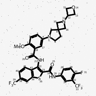 COc1ccc(N2CCC3(C2)CN(C2COC2)C3)cc1C(=O)Nc1c(C(=O)Nc2ccc(F)c(C(F)(F)F)c2)sc2cc(C(F)(F)F)ccc12